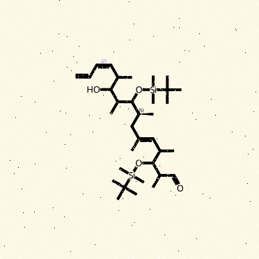 C=C/C=C\C(C)C(O)C(C)C(O[Si](C)(C)C(C)(C)C)[C@@H](C)CC(C)=CC(C)C(O[Si](C)(C)C(C)(C)C)C(C)C=O